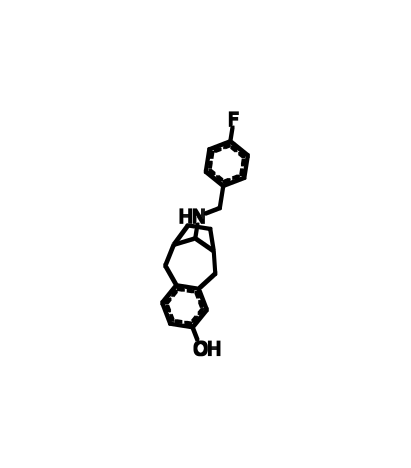 Oc1ccc2c(c1)CC1CCC(C2)C1NCc1ccc(F)cc1